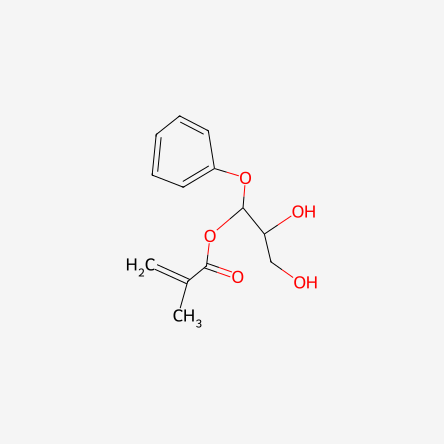 C=C(C)C(=O)OC(Oc1ccccc1)C(O)CO